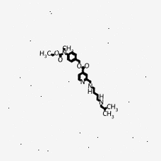 CCOC(=O)N(C)c1ccc(COC(=O)c2ccnc(CNCCCCNCC(C)C)c2)cc1